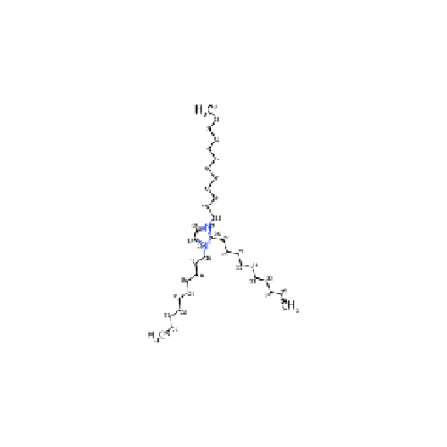 CCCCCCCCCCCCn1cc[n+](CCCCCCCCCC)c1CCCCCCCCCC